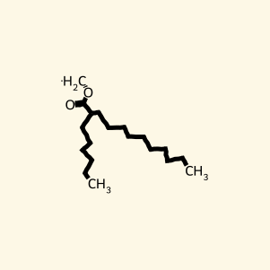 [CH2]OC(=O)C(CCCCCC)CCCCCCCCCC